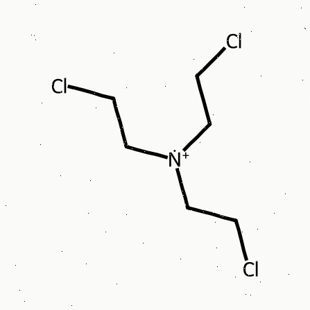 ClCC[N+](CCCl)CCCl